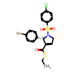 CCSC(=O)C1=CCN(S(=O)(=O)c2ccc(Cl)cc2)[C@H]1c1ccc(Br)cc1